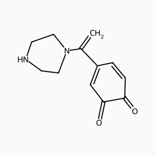 C=C(C1=CC(=O)C(=O)C=C1)N1CCNCC1